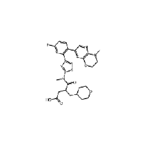 CN1CCOc2cc(-c3ccc(F)cc3-c3csc(N(C)C(=O)C(CC(=O)O)CC4CCOCC4)n3)cnc21